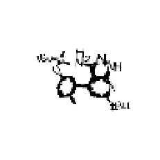 Cc1ccc(O[Si](C)(C)C(C)(C)C)cc1-c1cc(C(C)(C)C)nc2[nH]nc(N)c12